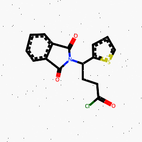 O=C(Cl)CCC(c1cccs1)N1C(=O)c2ccccc2C1=O